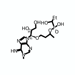 CCC(O)P(=O)(O)OC(C)CCO[C@H]([C@H](O)CO)n1cnc2c(=N)n(C)cnc21